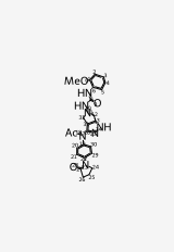 COc1ccccc1NC(=O)NN1Cc2[nH]nc(N(C(C)=O)c3ccc(N4CCCC4=O)cc3)c2C1